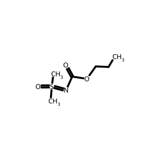 CCCOC(=O)N=S(C)(C)=O